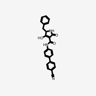 N#Cc1ccc(-c2ccc(NC(=O)C3=C(O)C(Cc4ccccc4)NC3=O)cc2)cc1